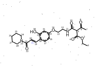 CCOC(=O)C(C(C)=O)C(=O)NCCOc1ccc(/C=C/C(=O)N2CCCCC2)c(O)c1